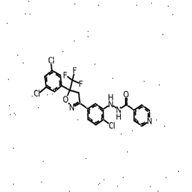 O=C(NNc1cc(C2=NOC(c3cc(Cl)cc(Cl)c3)(C(F)(F)F)C2)ccc1Cl)c1ccncc1